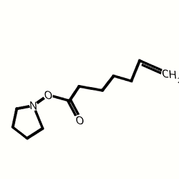 C=CCCCCC(=O)ON1CCCC1